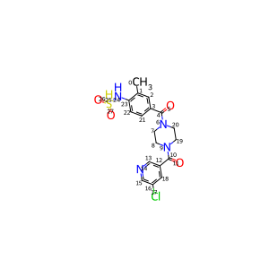 Cc1cc(C(=O)N2CCN(C(=O)c3cncc(Cl)c3)CC2)ccc1N[SH](=O)=O